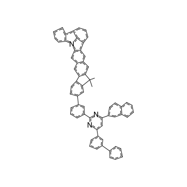 CC1(C)c2cc(-c3cccc(-c4nc(-c5cccc(-c6ccccc6)c5)cc(-c5ccc6ccccc6c5)n4)c3)ccc2-c2cc3cc4c(cc3cc21)c1cccc2c3ccccc3n4c21